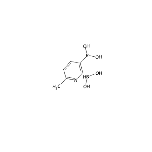 Cc1ccc(B(O)O)cn1.OBO